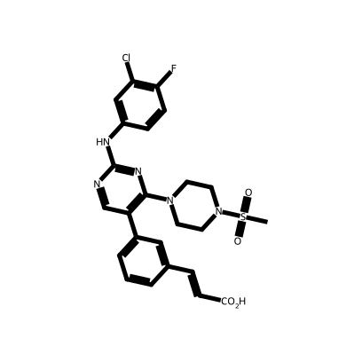 CS(=O)(=O)N1CCN(c2nc(Nc3ccc(F)c(Cl)c3)ncc2-c2cccc(C=CC(=O)O)c2)CC1